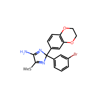 CSC1=NC(c2cccc(Br)c2)(c2ccc3c(c2)OCCO3)N=C1N